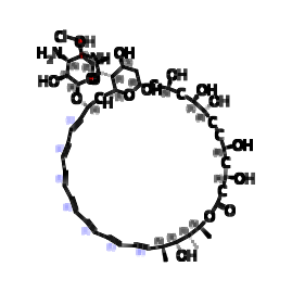 C[C@@H]1[C@H](O)[C@@H](C)/C=C/C=C/C=C/C=C/C=C/C=C/C=C/[C@H](O[C@@H]2O[C@H](C)[C@@H](O)[C@H](N)[C@@H]2O)C[C@@H]2O[C@](O)(C[C@@H](O)C[C@@H](O)[C@H](O)CC[C@@H](O)C[C@@H](O)CC(=O)O[C@H]1C)C[C@H](O)[C@H]2C(=O)NCCCl